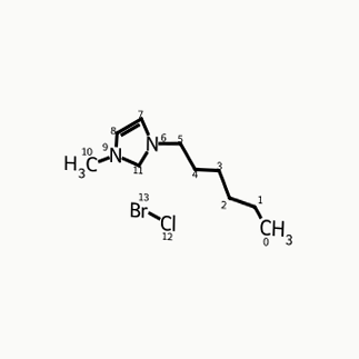 CCCCCCN1C=CN(C)C1.ClBr